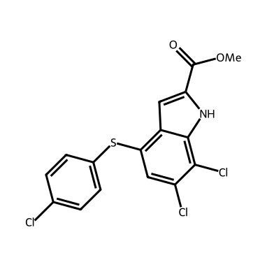 COC(=O)c1cc2c(Sc3ccc(Cl)cc3)cc(Cl)c(Cl)c2[nH]1